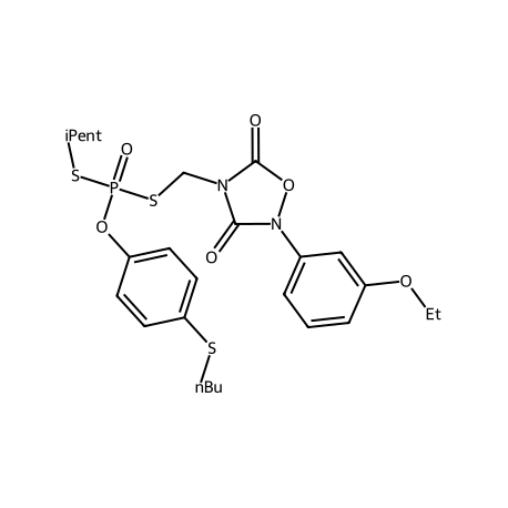 CCCCSc1ccc(OP(=O)(SCn2c(=O)on(-c3cccc(OCC)c3)c2=O)SC(C)CCC)cc1